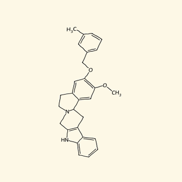 COc1cc2c(cc1OCc1cccc(C)c1)CCN1Cc3[nH]c4ccccc4c3CC21